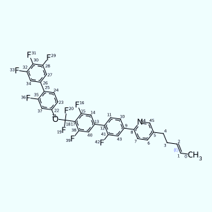 C/C=C/CCc1ccc(-c2ccc(-c3cc(F)c(C(F)(F)Oc4ccc(-c5cc(F)c(F)c(F)c5)c(F)c4)c(F)c3)c(F)c2)nc1